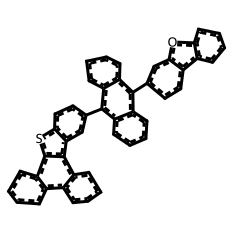 c1ccc2c(c1)oc1cc(-c3c4ccccc4c(-c4ccc5sc6c7ccccc7c7ccccc7c6c5c4)c4ccccc34)ccc12